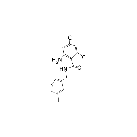 Nc1cc(Cl)cc(Cl)c1C(=O)NCc1cccc(I)c1